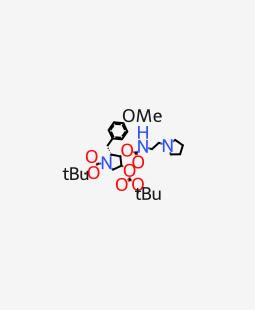 COc1ccc(C[C@@H]2[C@H](OC(=O)NCCN3CCCC3)[C@@H](OC(=O)OC(C)(C)C)CN2C(=O)OC(C)(C)C)cc1